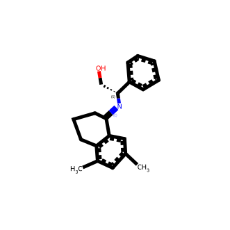 Cc1cc(C)c2c(c1)/C(=N/[C@H](CO)c1ccccc1)CCC2